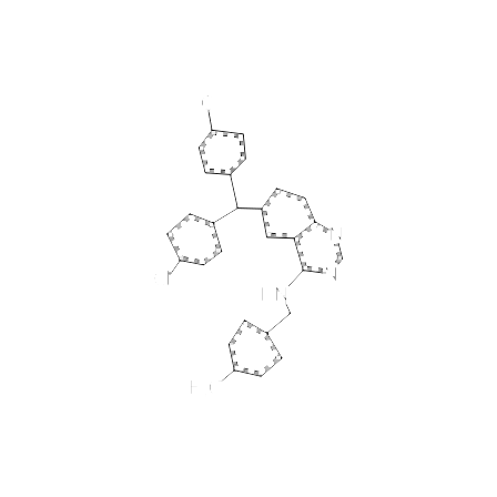 FC(F)(F)c1ccc(CNc2ncnc3ccc(C(c4ccc(Cl)cc4)c4ccc(Cl)cc4)cc23)cc1